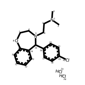 CN(C)CCN1CCOc2ccccc2C1c1ccc(Cl)cc1.Cl.Cl